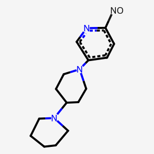 O=Nc1ccc(N2CCC(N3CCCCC3)CC2)cn1